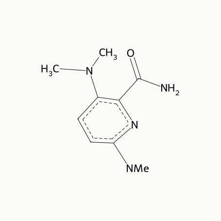 CNc1ccc(N(C)C)c(C(N)=O)n1